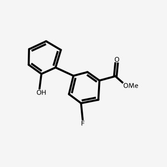 COC(=O)c1cc(F)cc(-c2ccccc2O)c1